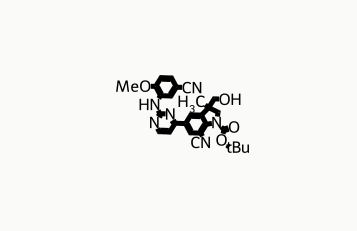 COc1ccc(C#N)cc1Nc1nccc(-c2cc(C#N)c3c(c2)C(C)(CO)CN3C(=O)OC(C)(C)C)n1